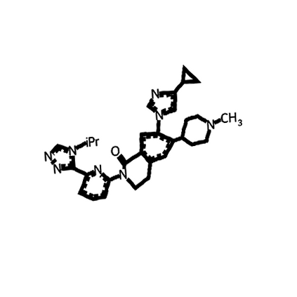 CC(C)n1cnnc1-c1cccc(N2CCc3cc(C4CCN(C)CC4)c(-n4cnc(C5CC5)c4)cc3C2=O)n1